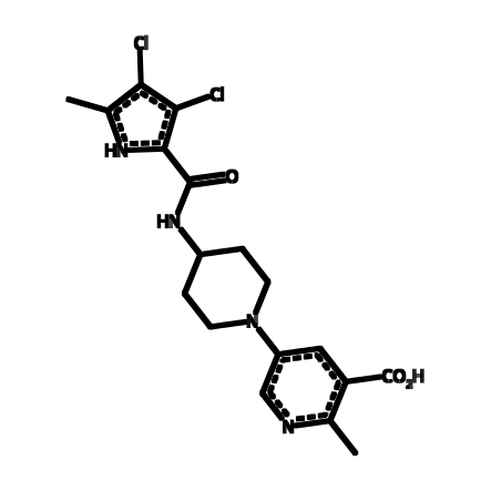 Cc1ncc(N2CCC(NC(=O)c3[nH]c(C)c(Cl)c3Cl)CC2)cc1C(=O)O